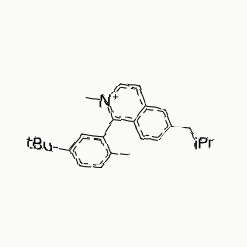 Cc1ccc(C(C)(C)C)cc1-c1c2ccc(CC(C)C)cc2cc[n+]1C